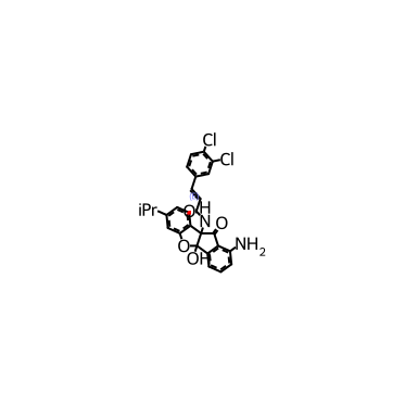 CC(C)c1ccc2c(c1)OC1(O)c3cccc(N)c3C(=O)C21NC(=O)/C=C/c1ccc(Cl)c(Cl)c1